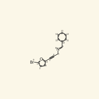 Brc1ccc(C#CC/N=C/c2ccccc2)o1